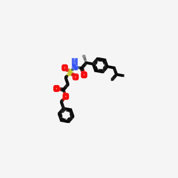 CC(C)Cc1ccc([C@@H](C)C(=O)NS(=O)(=O)CCC(=O)OCc2ccccc2)cc1